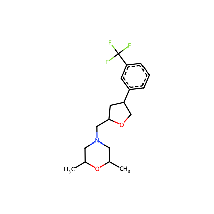 CC1CN(CC2CC(c3cccc(C(F)(F)F)c3)CO2)CC(C)O1